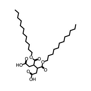 CCCCCCCCCCCCOC(=O)C(CC(=O)O)C(CC(=O)O)C(=O)OCCCCCCCCCCCC